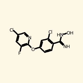 N=C(NO)c1ccc(Oc2ncc(Cl)cc2F)cc1Cl